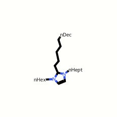 CCCCCCCCCCCCCCCC1N(CCCCCC)C=CN1CCCCCCC